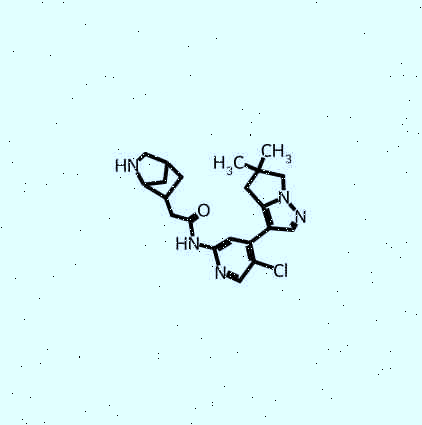 CC1(C)Cc2c(-c3cc(NC(=O)CC4CC5CNC4C5)ncc3Cl)cnn2C1